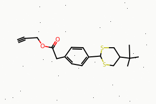 C#CCOC(=O)Cc1ccc(C2SCC(C(C)(C)C)CS2)cc1